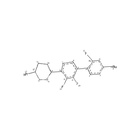 CCCCc1ccc(-c2ccc(C3CCC(CCC)CO3)c(F)c2F)c(F)c1